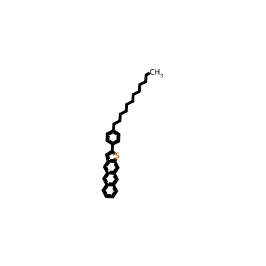 CCCCCCCCCCCCc1ccc(-c2cc3cc4cc5ccccc5cc4cc3s2)cc1